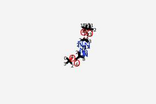 CC(C)(C)OC(=O)c1cnn(-c2ncc(B3OC(C)(C)C(C)(C)O3)cn2)c1